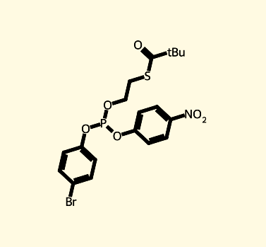 CC(C)(C)C(=O)SCCOP(Oc1ccc(Br)cc1)Oc1ccc([N+](=O)[O-])cc1